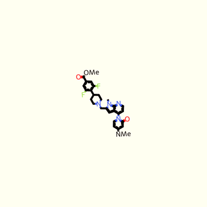 CNc1ccn(-c2ccnc3c2cc(CN2CCC(c4c(F)cc(C(=O)OC)cc4F)CC2)n3C)c(=O)c1